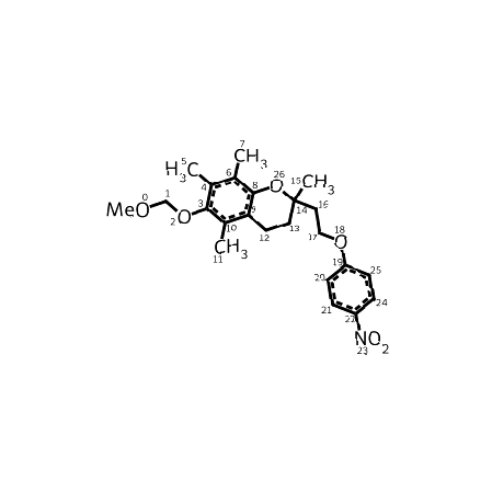 COCOc1c(C)c(C)c2c(c1C)CCC(C)(CCOc1ccc([N+](=O)[O-])cc1)O2